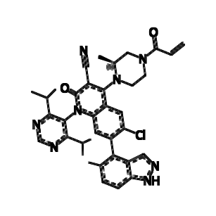 C=CC(=O)N1CCN(c2c(C#N)c(=O)n(-c3c(C(C)C)ncnc3C(C)C)c3cc(-c4c(C)ccc5[nH]ncc45)c(Cl)cc23)[C@@H](C)C1